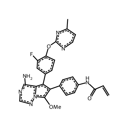 C=CC(=O)Nc1ccc(-c2c(-c3ccc(Oc4nccc(C)n4)c(F)c3)c3c(N)ncnn3c2OC)cc1